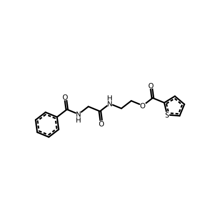 O=C(CNC(=O)c1ccccc1)NCCOC(=O)c1cccs1